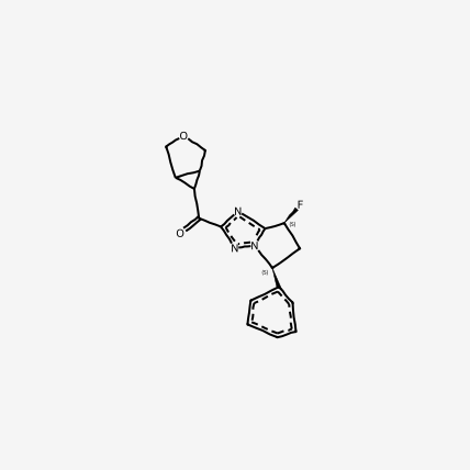 O=C(c1nc2n(n1)[C@H](c1ccccc1)C[C@@H]2F)C1C2COCC21